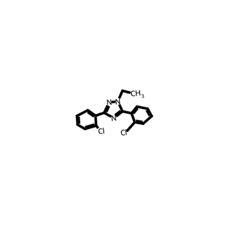 CCn1nc(-c2ccccc2Cl)nc1-c1ccccc1Cl